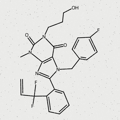 C=CC(F)(F)c1ccccc1-c1nc2c(c(=O)n(CCCO)c(=O)n2C)n1Cc1ccc(F)cc1